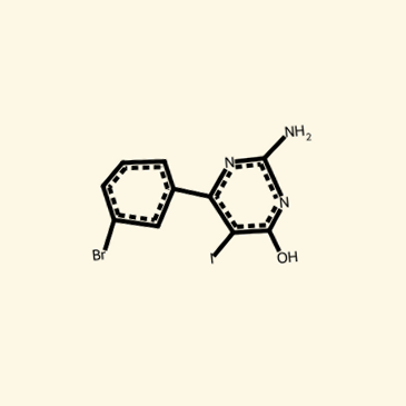 Nc1nc(O)c(I)c(-c2cccc(Br)c2)n1